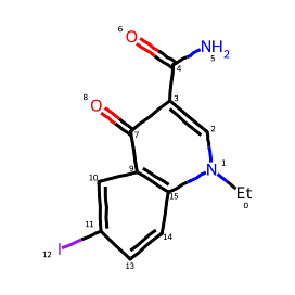 CCn1cc(C(N)=O)c(=O)c2cc(I)ccc21